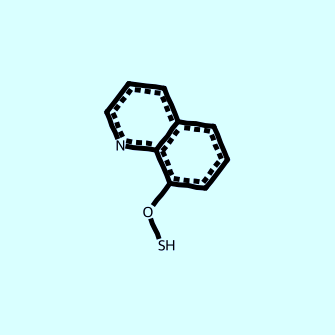 SOc1cccc2cccnc12